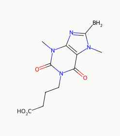 Bc1nc2c(c(=O)n(CCCC(=O)O)c(=O)n2C)n1C